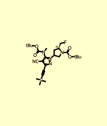 CN(C(=O)OC(C)(C)C)c1c(C#N)c(C#C[Si](C)(C)C)nn1C1C[C@@H](CF)N(C(=O)OC(C)(C)C)C1